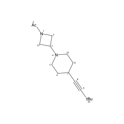 CC(=O)N1CC(N2CCC(C#CC(C)(C)C)CC2)C1